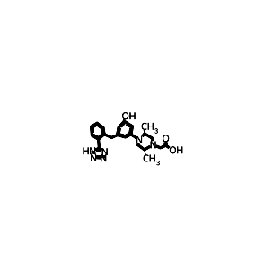 C[C@@H]1CN(c2cc(O)cc(Cc3ccccc3-c3nnn[nH]3)c2)[C@@H](C)CN1CC(=O)O